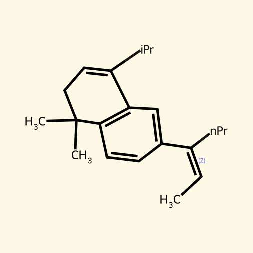 C/C=C(/CCC)c1ccc2c(c1)C(C(C)C)=CCC2(C)C